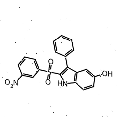 O=[N+]([O-])c1cccc(S(=O)(=O)c2[nH]c3ccc(O)cc3c2-c2ccccc2)c1